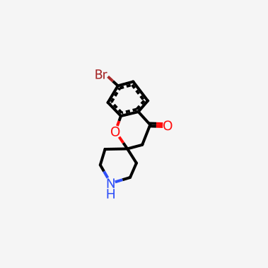 O=C1CC2(CCNCC2)Oc2cc(Br)ccc21